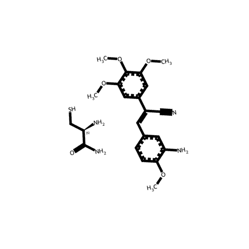 COc1ccc(C=C(C#N)c2cc(OC)c(OC)c(OC)c2)cc1N.NC(=O)[C@H](N)CS